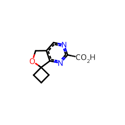 O=C(O)c1ncc2c(n1)C1(CCC1)OC2